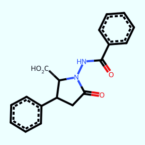 O=C(NN1C(=O)CC(c2ccccc2)C1C(=O)O)c1ccccc1